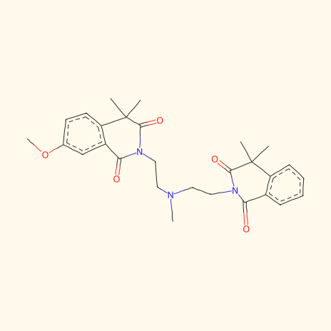 COc1ccc2c(c1)C(=O)N(CCN(C)CCN1C(=O)c3ccccc3C(C)(C)C1=O)C(=O)C2(C)C